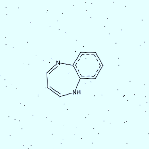 [C]1=CNc2ccccc2N=C1